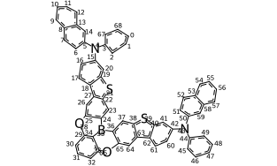 c1ccc(N(c2ccc3ccccc3c2)c2ccc3c(c2)sc2cc4c(cc23)Oc2cccc3c2B4c2cc4sc5cc(N(c6ccccc6)c6ccc7ccccc7c6)ccc5c4cc2O3)cc1